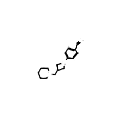 N#Cc1ccc(N2CC(CN3CC[CH]CC3)C2)cc1